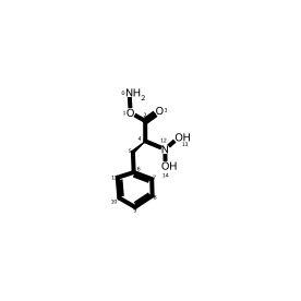 NOC(=O)[C@H](Cc1ccccc1)N(O)O